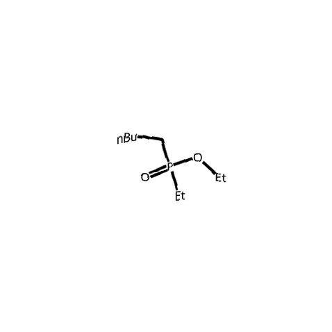 CCCCCP(=O)(CC)OCC